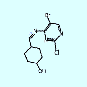 OC1CCC(/C=N\c2nc(Cl)ncc2Br)CC1